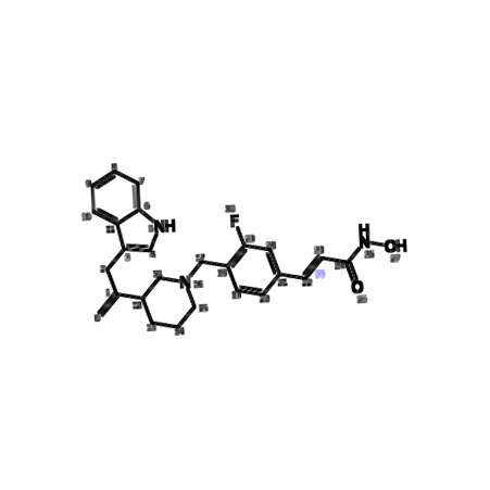 C=C(Cc1c[nH]c2ccccc12)C1CCCN(Cc2ccc(/C=C/C(=O)NO)cc2F)C1